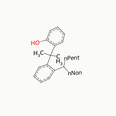 CCCCCCCCCC(CCCCC)c1ccccc1C(C)(C)c1ccccc1O